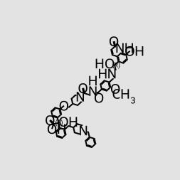 COc1cc(C(=O)NCC(=O)N2CCC(COc3cccc([C@@](O)(C(=O)O)c4ccccc4CC4CCN(Cc5ccccc5)CC4)c3)CC2)ccc1CNC[C@H](O)c1ccc(O)c2[nH]c(=O)ccc12